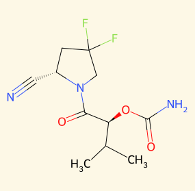 CC(C)[C@H](OC(N)=O)C(=O)N1CC(F)(F)C[C@H]1C#N